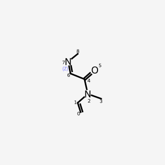 C=CN(C)C(=O)/C=N\C